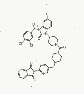 CC(c1ccc(Cl)c(Cl)c1)n1c(=O)n(C2CCN(C(=O)C3CCN(Cc4ccc(N5C(=O)c6ccccc6C5=O)nc4)CC3)CC2)c2ccc(F)cc21